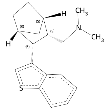 CN(C)C[C@H]1[C@H]2CC[C@H](C2)[C@H]1c1csc2ccccc12